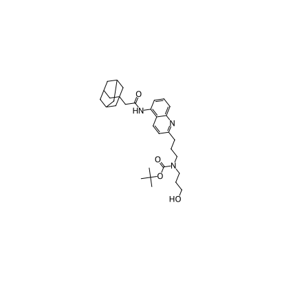 CC(C)(C)OC(=O)N(CCCO)CCCc1ccc2c(NC(=O)CC34CC5CC(CC(C5)C3)C4)cccc2n1